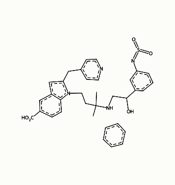 CC(C)(CCn1c(Cc2ccncc2)cc2cc(C(=O)O)ccc21)NCC(O)c1cccc(N=S(=O)=O)c1.c1ccccc1